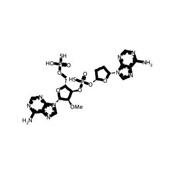 CO[C@@H]1[C@H](OP(=O)(S)O[C@@H]2CC[C@H](n3cnc4c(N)ncnc43)O2)[C@@H](COP(=O)(O)S)O[C@H]1n1cnc2c(N)ncnc21